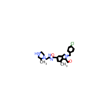 Cc1cc(-c2nc(CN3CCNCC3C)no2)cc2c1C(C=O)N(Cc1ccc(Cl)cc1)C2